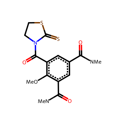 CNC(=O)c1cc(C(=O)NC)c(OC)c(C(=O)N2CCSC2=S)c1